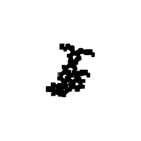 COc1cc2c(cc1OC)C(CN1CCN(C3CCC34CCNCC4)[C@H](c3ccccc3C(C)C)C1)C2